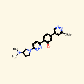 COc1cc(-c2ccc(-c3ccc(N4CCC(N(C)C(C)(C)C)C4)nn3)c(O)c2)cnn1